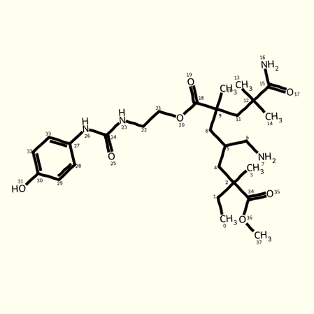 CCC(C)(CC(CN)CC(C)(CC(C)(C)C(N)=O)C(=O)OCCNC(=O)Nc1ccc(O)cc1)C(=O)OC